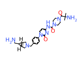 CC(C)(N)C(=O)N1CCN(C(=O)Nc2ccn(-c3ccc(CN4C[C@@H]5C(CN)[C@@H]5C4)cc3)c(=O)n2)CC1